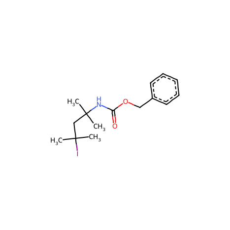 CC(C)(I)CC(C)(C)NC(=O)OCc1ccccc1